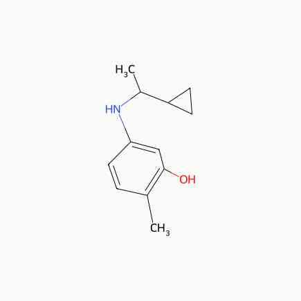 Cc1ccc(NC(C)C2CC2)cc1O